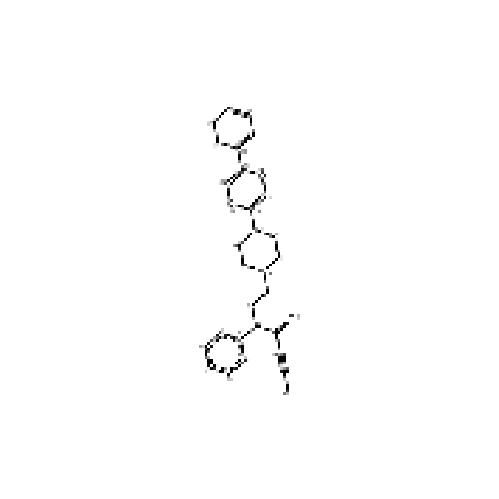 CC#CC(=O)C(CCN1CCN(C2=COC(C3=CC=CCC3)=CO2)CC1)c1ccccc1